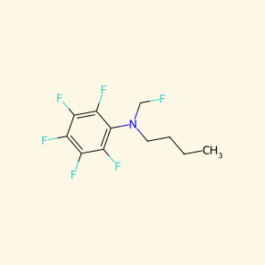 CCCCN(CF)c1c(F)c(F)c(F)c(F)c1F